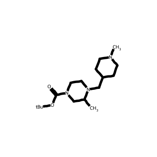 CC1CN(C(=O)OC(C)(C)C)CCN1CC1CCN(C)CC1